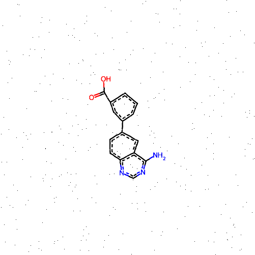 Nc1ncnc2ccc(-c3cccc(C(=O)O)c3)cc12